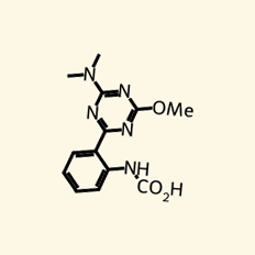 COc1nc(-c2ccccc2NC(=O)O)nc(N(C)C)n1